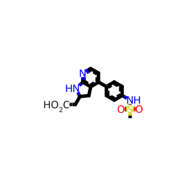 CS(=O)(=O)Nc1ccc(-c2ccnc3c2CC(CC(=O)O)N3)cc1